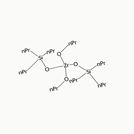 CCC[O][Zr]([O]CCC)([O][Si](CCC)(CCC)CCC)[O][Si](CCC)(CCC)CCC